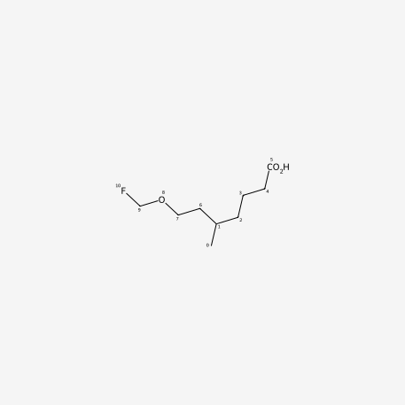 CC(CCCC(=O)O)CCOCF